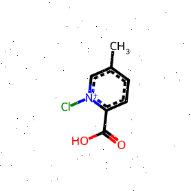 Cc1ccc(C(=O)O)[n+](Cl)c1